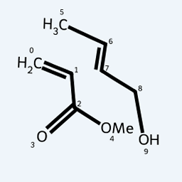 C=CC(=O)OC.CC=CCO